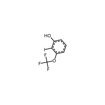 Oc1cccc(OC(F)(F)F)c1I